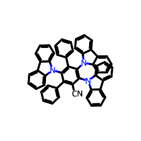 N#Cc1c(-c2ccccc2)c(-n2c3ccccc3c3ccccc32)c(-c2ccccc2)c(-n2c3ccccc3c3ccccc32)c1-n1c2ccccc2c2ccccc21